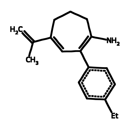 C=C(C)C1=CC(c2ccc(CC)cc2)=C(N)CCC1